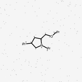 CC(C)OCC1CC(C(C)C)CN1C(C)C